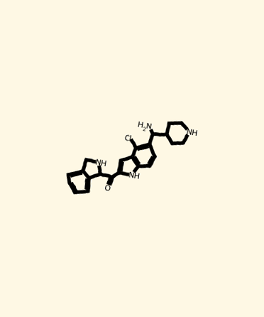 NC(c1ccc2[nH]c(C(=O)C3NCc4ccccc43)cc2c1Cl)C1CCNCC1